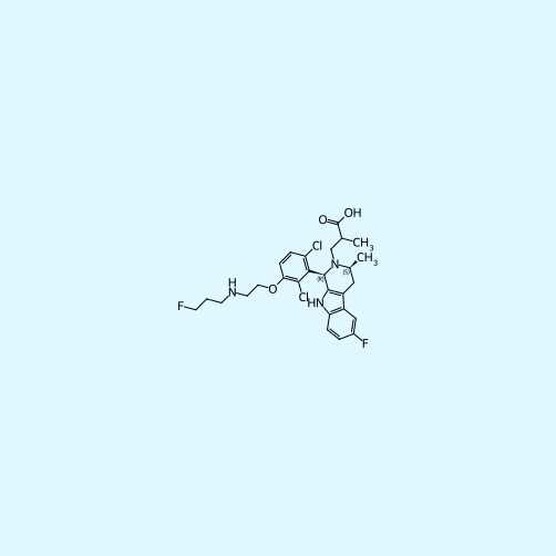 CC(CN1[C@H](c2c(Cl)ccc(OCCNCCCF)c2Cl)c2[nH]c3ccc(F)cc3c2C[C@@H]1C)C(=O)O